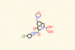 O=C(NCc1ccc(Cl)cc1)c1cn2c(C(O)CO)cc3cc(CN4CCOCC4)cc(c1=O)c32